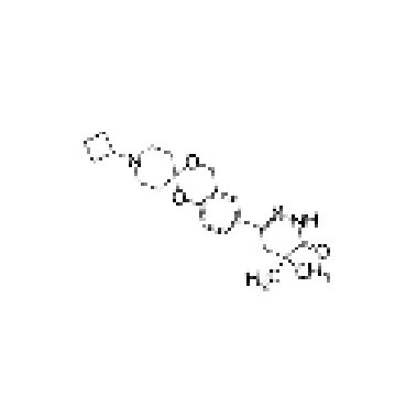 CC1(C)CC(c2ccc3c(c2)COC2(CCN(C4CCC4)CC2)O3)=NNC1=O